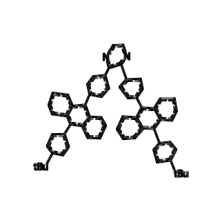 CC(C)(C)c1ccc(-c2c3ccccc3c(-c3ccc(-c4nccnc4-c4ccc(-c5c6ccccc6c(-c6ccc(C(C)(C)C)cc6)c6ccccc56)cc4)cc3)c3ccccc23)cc1